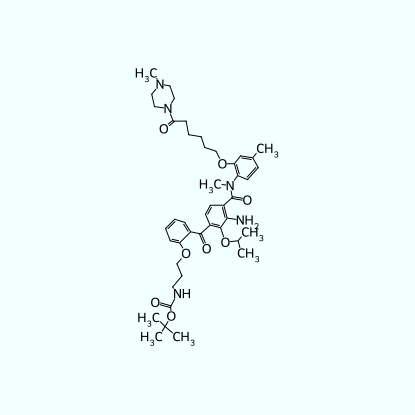 Cc1ccc(N(C)C(=O)c2ccc(C(=O)c3ccccc3OCCCNC(=O)OC(C)(C)C)c(OC(C)C)c2N)c(OCCCCCC(=O)N2CCN(C)CC2)c1